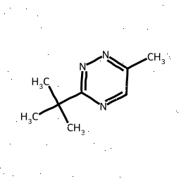 Cc1cnc(C(C)(C)C)nn1